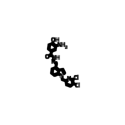 Nc1cc(C(=O)N/N=C/c2cccc3c2ccn3Cc2ccc(Cl)c(Cl)n2)ccc1O